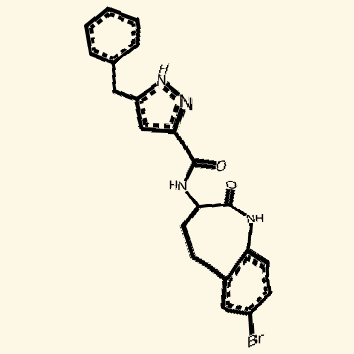 O=C(NC1CCc2cc(Br)ccc2NC1=O)c1cc(Cc2ccccc2)[nH]n1